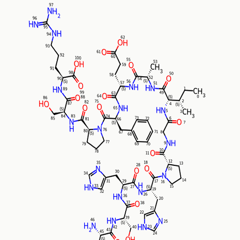 CC[C@H](C)[C@H](NC(=O)CNC(=O)[C@@H]1CCCN1C(=O)[C@H](Cc1c[nH]cn1)NC(=O)[C@H](Cc1c[nH]cn1)NC(=O)[C@H](CO)NC(=O)[C@@H](N)CO)C(=O)N[C@@H](C)C(=O)N[C@@H](CCC(=O)O)C(=O)N[C@@H](Cc1ccccc1)C(=O)N1CCC[C@H]1C(=O)N[C@@H](CO)C(=O)N[C@@H](CCCNC(=N)N)C(=O)O